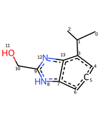 CC(C)c1cccc2[nH]c(CO)nc12